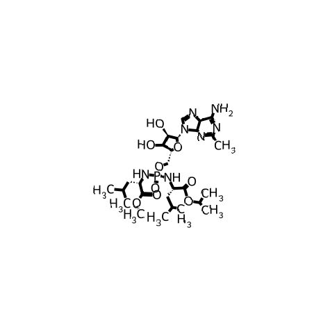 COC(=O)[C@H](CC(C)C)NP(=O)(N[C@@H](CC(C)C)C(=O)OC(C)C)OC[C@H]1O[C@@H](N2C=NC3C(N)=NC(C)=NC32)[C@H](O)C1O